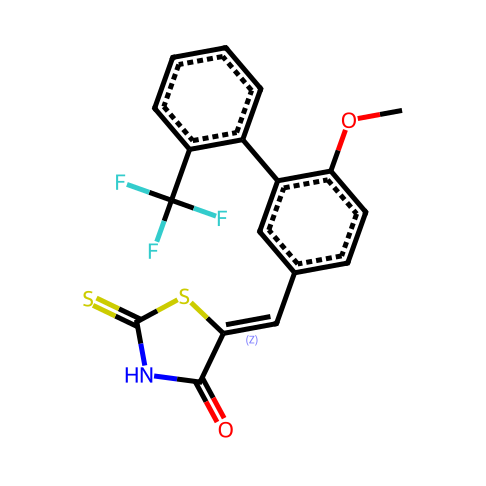 COc1ccc(/C=C2\SC(=S)NC2=O)cc1-c1ccccc1C(F)(F)F